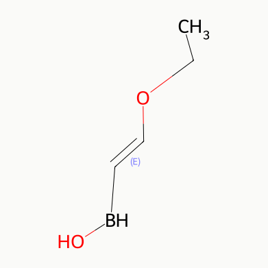 CCO/C=C/BO